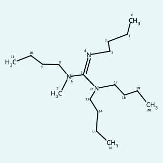 CCCCN=C(N(C)CCCC)N(CCCC)CCCC